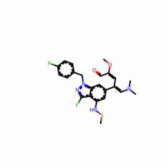 CO/C(C=O)=C/C(=C\N(C)C)c1cc(NSC)c2c(F)nn(Cc3ccc(F)cc3)c2c1